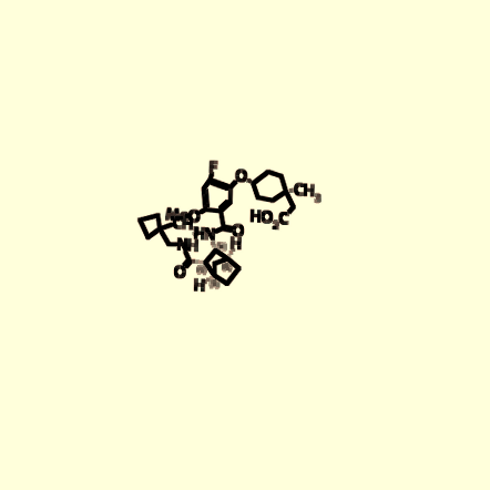 COc1cc(F)c(O[C@H]2CC[C@](C)(CC(=O)O)CC2)cc1C(=O)N[C@@H]1[C@H]2CC[C@H](C2)[C@@H]1C(=O)NCC1(C)CCC1